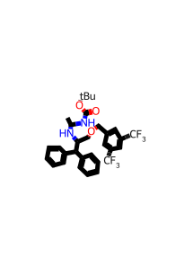 CC(NC(=O)OC(C)(C)C)NC(COCc1cc(C(F)(F)F)cc(C(F)(F)F)c1)C(c1ccccc1)c1ccccc1